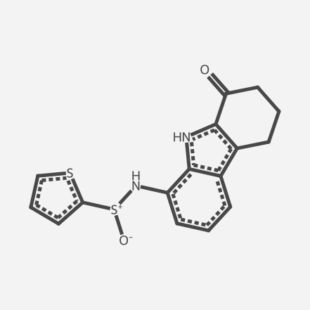 O=C1CCCc2c1[nH]c1c(N[S+]([O-])c3cccs3)cccc21